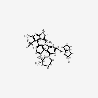 Cc1nc2[nH]nc(C)c2c(-c2nccc3c4c(N5CCOC[C@@](C)(O)C5)nc(OC[C@@]56CCCN5C[C@H](F)C6)nc4n(C)c23)c1C(F)(F)F